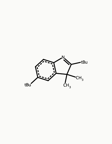 CC(C)(C)C1=Nc2ccc(C(C)(C)C)cc2C1(C)C